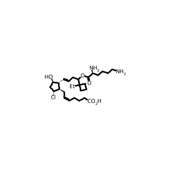 CCC1(C(C/C=C/[C@@H]2[C@@H](C/C=C\CCCC(=O)O)[C@H](Cl)C[C@H]2O)OC(=O)[C@@H](N)CCCCN)CCC1